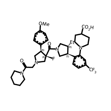 CC[C@H]1CN(C(=O)[C@]2(F)CN(CC(=O)N3CCCCC3)C[C@H]2c2ccc(OC)cc2)C[C@@H]1c1ccc(C(F)(F)F)cc1N1CCC(C(=O)O)CC1